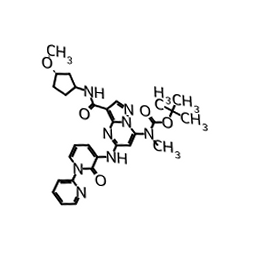 CO[C@H]1CCC(NC(=O)c2cnn3c(N(C)C(=O)OC(C)(C)C)cc(Nc4cccn(-c5ccccn5)c4=O)nc23)C1